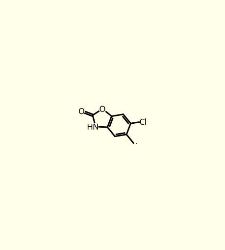 [CH2]c1cc2[nH]c(=O)oc2cc1Cl